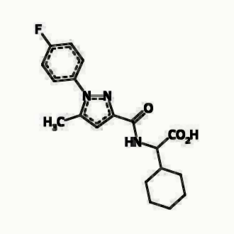 Cc1cc(C(=O)NC(C(=O)O)C2CCCCC2)nn1-c1ccc(F)cc1